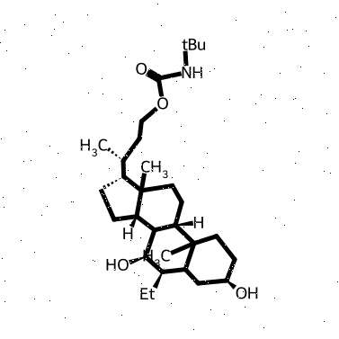 CC[C@@H]1C2C[C@H](O)CCC2(C)[C@H]2CCC3(C)[C@@H]([C@H](C)CCOC(=O)NC(C)(C)C)CC[C@H]3C2[C@@H]1O